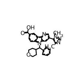 Cc1nnn(C)c1-c1cnc2c3cc(C(=O)O)ccc3n(C(c3ccccc3)C3CCOCC3)c2c1